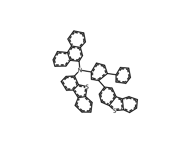 c1ccc(-c2ccc(N(c3cc4ccccc4c4ccccc34)c3cccc4c3sc3ccccc34)cc2-c2ccc3sc4ccccc4c3c2)cc1